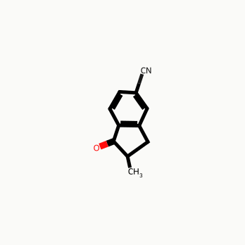 CC1Cc2cc(C#N)ccc2C1=O